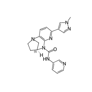 Cn1cc(-c2ccc3c(n2)N(C(=O)Nc2cccnc2)[C@H]2CCN3C2)cn1